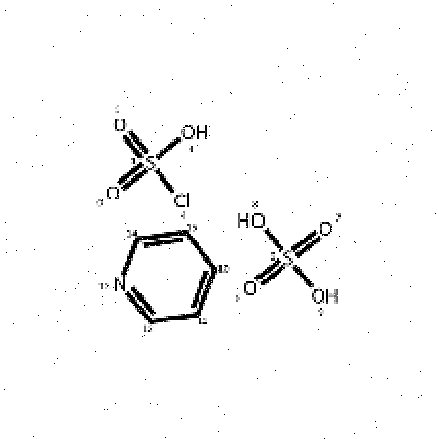 O=S(=O)(O)Cl.O=S(=O)(O)O.c1ccncc1